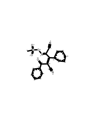 CS(=O)(=O)ON=C(C#N)C(=C(C#N)C(=O)c1ccccc1)c1ccccc1